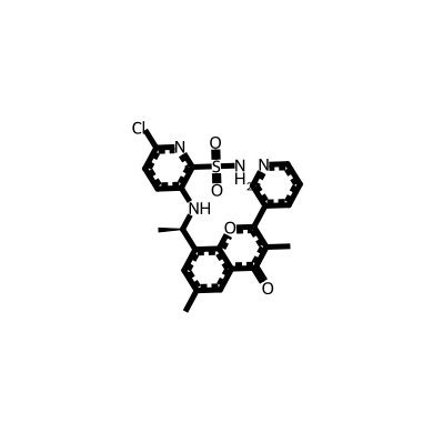 Cc1cc([C@@H](C)Nc2ccc(Cl)nc2S(N)(=O)=O)c2oc(-c3cccnc3)c(C)c(=O)c2c1